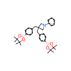 CC1(C)OB(c2ccc(CC3(Cc4ccc(B5OC(C)(C)C(C)(C)O5)cc4)CN(c4ccccc4)C3)cc2)OC1(C)C